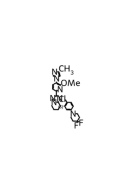 COc1nc(-c2nc3n(n2)CCC[C@H]3c2cc(N3CCC(F)(F)CC3)ccc2Cl)ccc1-n1cnc(C)c1